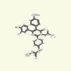 COc1ccc(-c2c(-c3ccc(C#N)c(F)c3)nc(N3CCC(NC(=O)OC(C)(C)C)CC3)n(CC(N)=O)c2=O)cc1